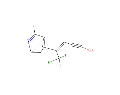 Cc1cc(/C(=C/C#CO)C(F)(F)F)ccn1